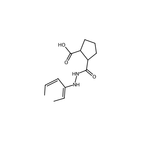 C/C=C\C(=C/C)NNC(=O)C1CCCC1C(=O)O